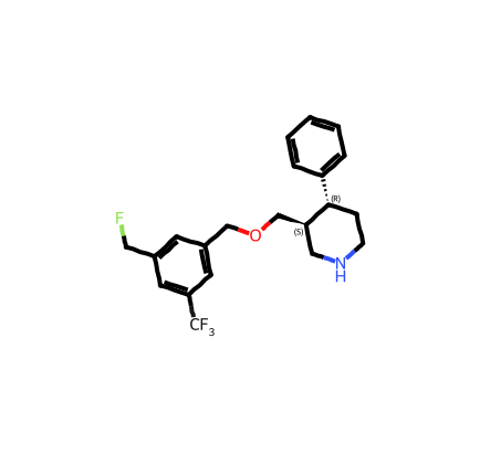 FCc1cc(COC[C@@H]2CNCC[C@H]2c2ccccc2)cc(C(F)(F)F)c1